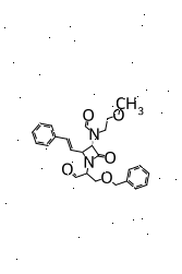 COCCN(C=O)[C@@H]1C(=O)N(C(C=O)COCc2ccccc2)C1/C=C/c1ccccc1